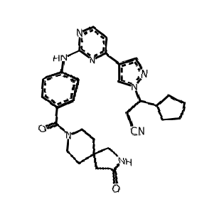 N#CCC(C1CCCC1)n1cc(-c2ccnc(Nc3ccc(C(=O)N4CCC5(CC4)CNC(=O)C5)cc3)n2)cn1